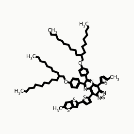 CCCCCCCCCCC(CCCCCCCC)COc1ccc(-c2nc3c(-c4ccc(C)s4)c4nsnc4c(-c4ccc(-c5cc6sc(C)cc6s5)s4)c3nc2-c2ccc(OCC(CCCCCCCC)CCCCCCCCCC)cc2)cc1